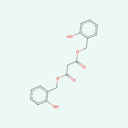 O=C(CC(=O)OCc1ccccc1O)OCc1ccccc1O